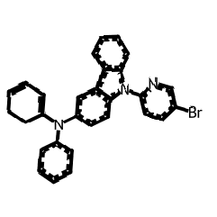 Brc1ccc(-n2c3ccccc3c3cc(N(C4=CC=CCC4)c4ccccc4)ccc32)nc1